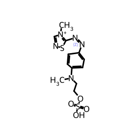 CN(CCOS(=O)(=O)O)c1ccc(/N=N\c2snc[n+]2C)cc1